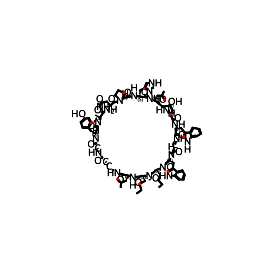 CCCC[C@H]1C(=O)N(C)[C@@H](CCCC)C(=O)N[C@@H](CC(C)C)C(=O)NCCCC(=O)NCC(=O)N[C@@H](Cc2ccc(O)cc2)C(=O)N(C)[C@@H](C)C(=O)N[C@@H](CC(N)=O)C(=O)N2CCC[C@H]2C(=O)N[C@@H](Cc2c[nH]cn2)C(=O)N[C@@H](CC(C)C)C(=O)C2N[C@@H](C[C@H]2O)C(=O)N[C@@H](Cc2c[nH]c3ccccc23)C(=O)NCC(=O)N[C@@H](Cc2c[nH]c3ccccc23)C(=O)N1C